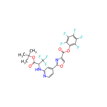 CC(C)(C)OC(=O)C(Nc1cc(-c2nc(C(=O)Oc3c(F)c(F)c(F)c(F)c3F)co2)ccn1)C(F)(F)F